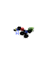 CCSNc1cccc(OCCCN(Cc2cccc(C(F)(F)F)c2Cl)CC(c2ccccc2)c2ccccc2)c1